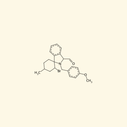 COc1ccc(CN2C(C=O)c3ccccc3C23CCC(C)CC3Br)cc1